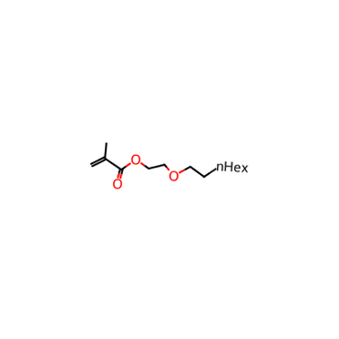 C=C(C)C(=O)OCCOCCCCCCCC